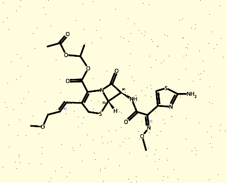 COC/C=C/C1=C(C(=O)OC(C)OC(C)=O)N2C(=O)[C@@H](NC(=O)/C(=N\OC)c3csc(N)n3)[C@@H]2SC1